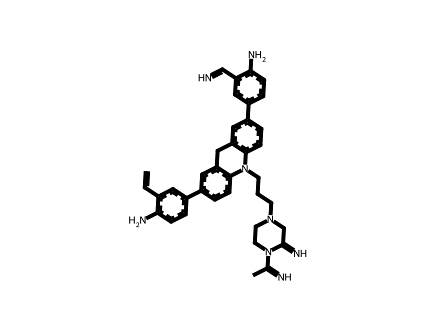 C=Cc1cc(-c2ccc3c(c2)Cc2cc(-c4ccc(N)c(C=N)c4)ccc2N3CCCN2CCN(C(C)=N)C(=N)C2)ccc1N